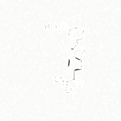 CCN(CC)C(=O)c1ccc(S(=O)(=O)N2CCCC(C(=O)O)C2)cc1